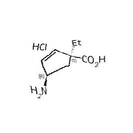 CC[C@@]1(C(=O)O)C=C[C@H](N)C1.Cl